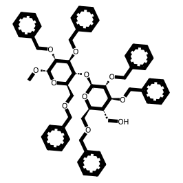 CO[C@H]1O[C@H](COCc2ccccc2)[C@@H](O[C@@H]2O[C@H](COCc3ccccc3)[C@@H](CO)[C@H](OCc3ccccc3)[C@H]2OCc2ccccc2)[C@H](OCc2ccccc2)[C@H]1OCc1ccccc1